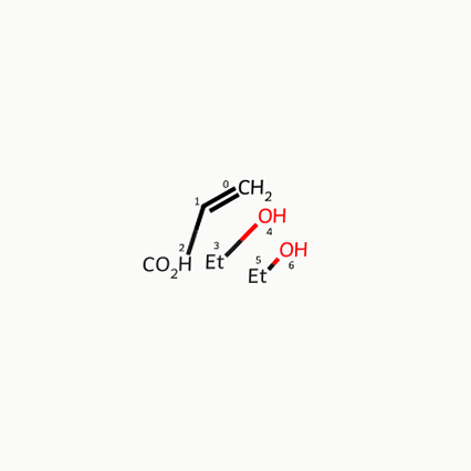 C=CC(=O)O.CCO.CCO